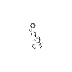 CCC(C)(C)C(=O)[C@@H](NC(=O)c1ccc(Oc2ccccc2)cc1)C1CCCC1